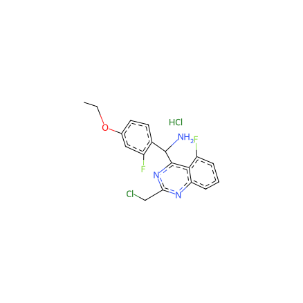 CCOc1ccc(C(N)c2nc(CCl)nc3cccc(F)c23)c(F)c1.Cl